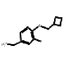 CCc1ccc(OCC2CCC2)c(F)c1